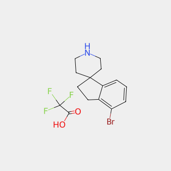 Brc1cccc2c1CCC21CCNCC1.O=C(O)C(F)(F)F